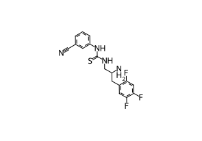 N#Cc1cccc(NC(=S)NCC(N)Cc2cc(F)c(F)cc2F)c1